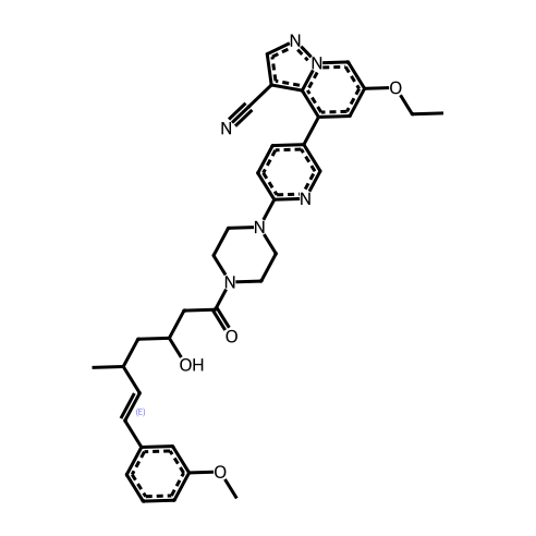 CCOc1cc(-c2ccc(N3CCN(C(=O)CC(O)CC(C)/C=C/c4cccc(OC)c4)CC3)nc2)c2c(C#N)cnn2c1